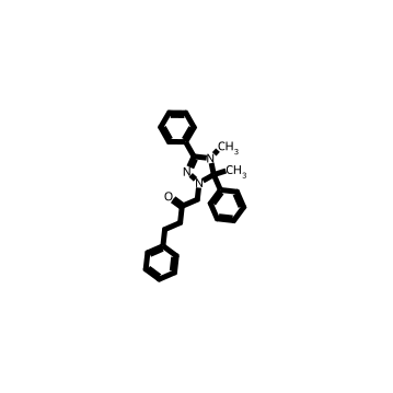 CN1C(c2ccccc2)=NN(CC(=O)CCc2ccccc2)C1(C)c1ccccc1